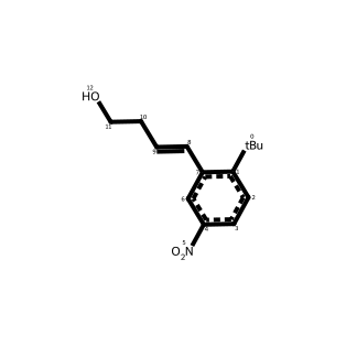 CC(C)(C)c1ccc([N+](=O)[O-])cc1/C=C/CCO